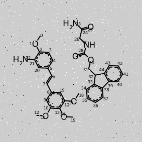 COc1ccc(C=Cc2cc(OC)c(OC)c(OC)c2)cc1N.NC(=O)CNC(=O)OCC1c2ccccc2-c2ccccc21